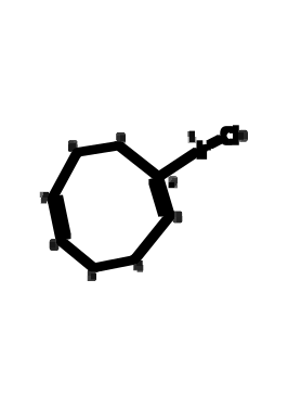 [Cl][Ir][C]1=CCCC=CCC1